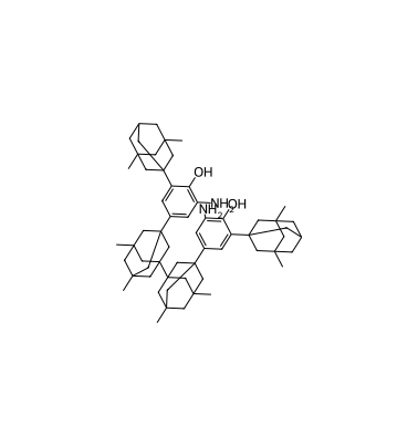 CC12CC3CC(C)(C1)CC(c1cc(C45CC6(C)CC(C)(C4)CC(C47CC8(C)CC(C)(CC(c9cc(N)c(O)c(C%10%11CC%12CC(C)(CC(C)(C%12)C%10)C%11)c9)(C8)C4)C7)(C6)C5)cc(N)c1O)(C3)C2